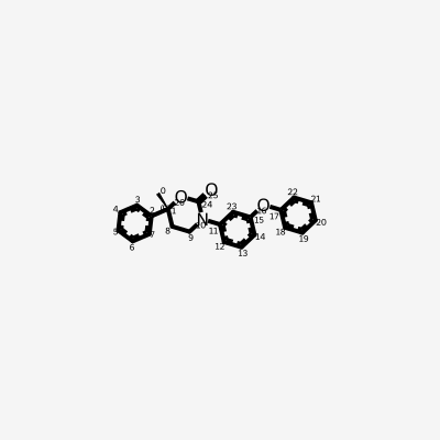 C[C@]1(c2ccccc2)CCN(c2cccc(Oc3ccccc3)c2)C(=O)O1